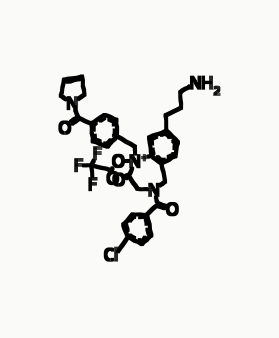 NCCCc1ccc2c(c1)[N+](Cc1ccc(C(=O)N3CC=CC3)cc1)(OC(=O)C(F)(F)F)C(=O)CN(C(=O)c1ccc(Cl)cc1)C2